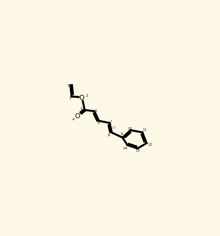 C=COC(=O)C=C/C=C/c1ccccc1